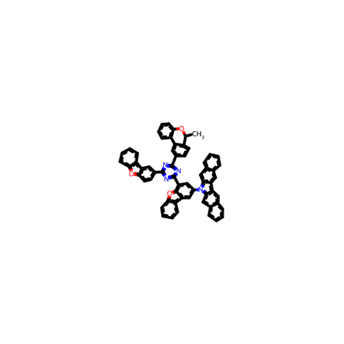 CC1Oc2ccccc2-c2cc(-c3nc(-c4ccc5oc6ccccc6c5c4)nc(-c4cc(-n5c6cc7ccccc7cc6c6cc7ccccc7cc65)cc5c4oc4ccccc45)n3)ccc21